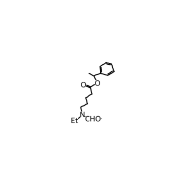 CCN([C]=O)CCCCC(=O)OC(C)c1ccccc1